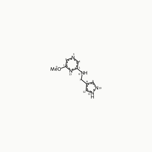 COc1cncc(NCc2cn[nH]c2)n1